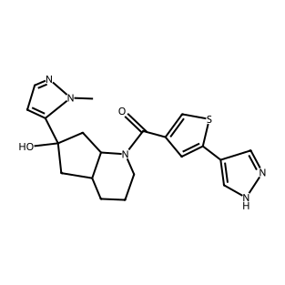 Cn1nccc1C1(O)CC2CCCN(C(=O)c3csc(-c4cn[nH]c4)c3)C2C1